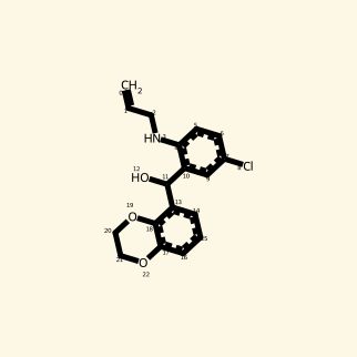 C=CCNc1ccc(Cl)cc1C(O)c1cccc2c1OCCO2